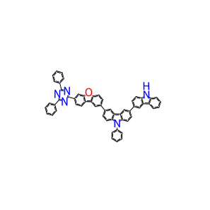 c1ccc(-c2nc(-c3ccccc3)nc(-c3ccc4c(c3)oc3ccc(-c5ccc6c(c5)c5cc(-c7ccc8[nH]c9ccccc9c8c7)ccc5n6-c5ccccc5)cc34)n2)cc1